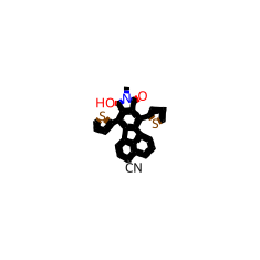 CN1C(=O)c2c(-c3cccs3)c3c(c(-c4cccs4)c2C1O)-c1ccc(C#N)c2cccc-3c12